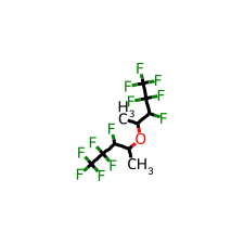 CC(OC(C)C(F)C(F)(F)C(F)(F)F)C(F)C(F)(F)C(F)(F)F